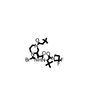 CC(C)(C)CC(=O)N1CCCn2c(Br)nc(C(=O)N[C@H](C(=O)N3CCC(F)(F)C3)C(C)(C)C)c2C1